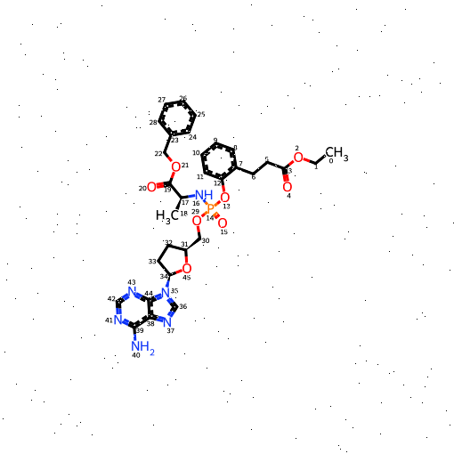 CCOC(=O)CCc1ccccc1OP(=O)(N[C@@H](C)C(=O)OCc1ccccc1)OC[C@@H]1CC[C@H](n2cnc3c(N)ncnc32)O1